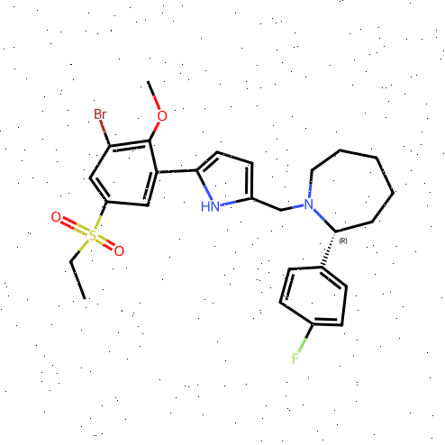 CCS(=O)(=O)c1cc(Br)c(OC)c(-c2ccc(CN3CCCCC[C@@H]3c3ccc(F)cc3)[nH]2)c1